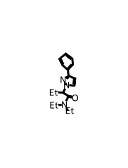 CCC(C(=O)N(CC)CC)n1ccc(-c2ccccc2)n1